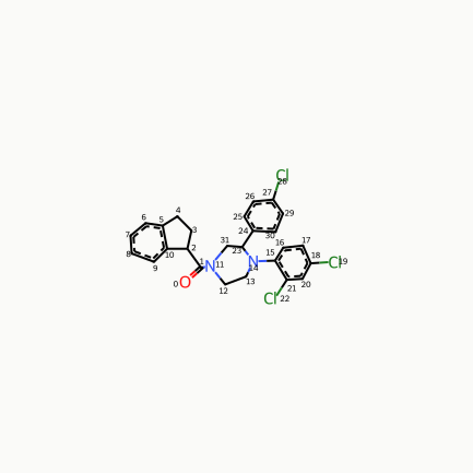 O=C(C1CCc2ccccc21)N1CCN(c2ccc(Cl)cc2Cl)C(c2ccc(Cl)cc2)C1